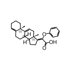 C[C@]12CCCC=C1CC[C@@H]1C2=CC[C@]2(C)C(=C(Oc3ccccc3)C(=O)O)CC[C@@H]12